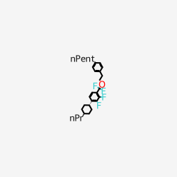 CCCCCc1ccc(CCOC(F)(F)c2ccc([C@H]3CC[C@H](CCC)CC3)c(F)c2F)cc1